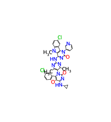 Cc1nc(Nc2nc(=O)n(-c3cccnc3)c3c4cc(Cl)ccc4n(C)c23)nc(C)c1-n1c(=O)nc(NC2CC2)c2oc3ccc(Cl)cc3c21